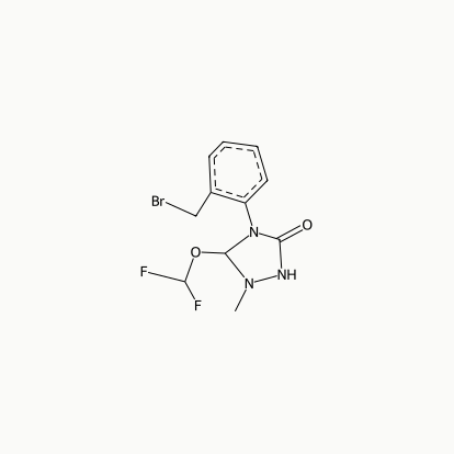 CN1NC(=O)N(c2ccccc2CBr)C1OC(F)F